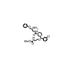 COC(=O)NCCO[C@@H](c1cccc(Cl)c1)[C@@H]1CCCN(C(=O)NC[C@@H](N)COc2ccccc2)C1